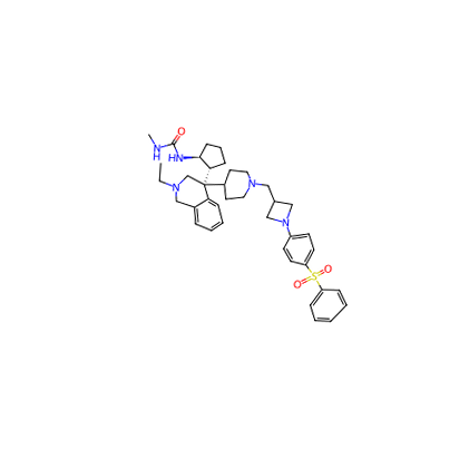 CCN1Cc2ccccc2C(C2CCN(CC3CN(c4ccc(S(=O)(=O)c5ccccc5)cc4)C3)CC2)([C@H]2CCC[C@@H]2NC(=O)NC)C1